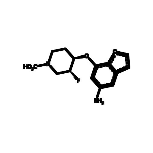 Nc1cc(O[C@@H]2CCN(C(=O)O)C[C@H]2F)c2occc2c1